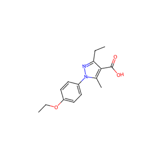 CCOc1ccc(-n2nc(CC)c(C(=O)O)c2C)cc1